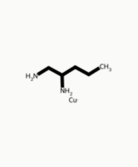 CCCC(N)CN.[Cu]